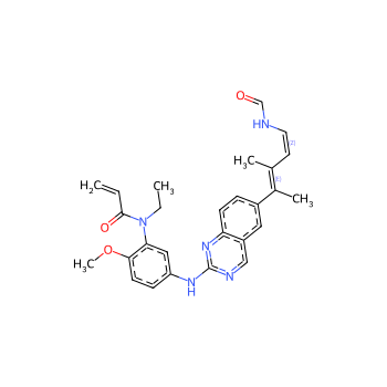 C=CC(=O)N(CC)c1cc(Nc2ncc3cc(/C(C)=C(C)/C=C\NC=O)ccc3n2)ccc1OC